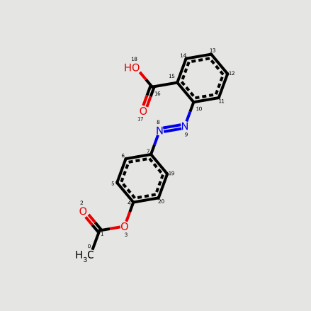 CC(=O)Oc1ccc(/N=N/c2ccccc2C(=O)O)cc1